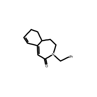 CC(C)CN1CCC2CCC=CC2=CC1=O